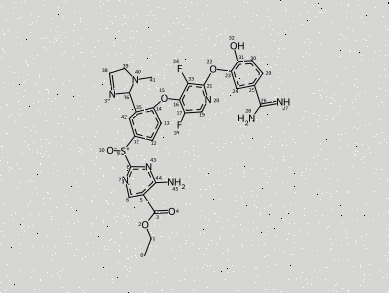 CCOC(=O)c1cnc([S+]([O-])c2ccc(Oc3c(F)cnc(Oc4cc(C(=N)N)ccc4O)c3F)c(C3N=CCN3C)c2)nc1N